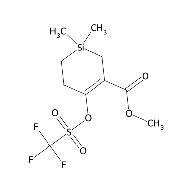 COC(=O)C1=C(OS(=O)(=O)C(F)(F)F)CC[Si](C)(C)C1